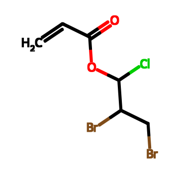 C=CC(=O)OC(Cl)C(Br)CBr